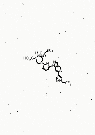 CC(C)(C)COC1(C)CN(C(=O)O)CCN(c2cccc(-n3ncc4cnc(-c5cnn(CC(F)(F)F)c5)cc43)n2)C1